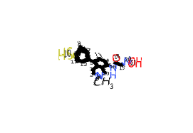 CN1CCc2c(-c3ccc(S)cc3)ccc(NC(=O)/C=N/O)c2C1